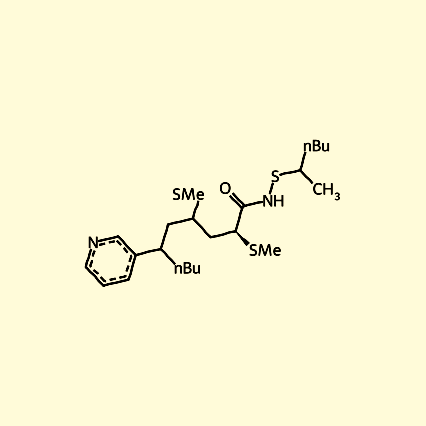 CCCCC(C)SNC(=O)[C@H](CC(CC(CCCC)c1cccnc1)SC)SC